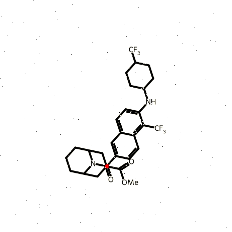 COC(=O)C1CC2CCCC(C1)N2C(=O)c1ccc2c(C(F)(F)F)c(NC3CCC(C(F)(F)F)CC3)ccc2c1